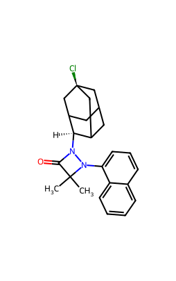 CC1(C)C(=O)N([C@H]2C3CC4CC2C[C@@](Cl)(C4)C3)N1c1cccc2ccccc12